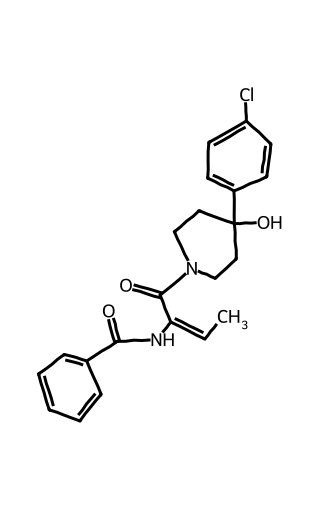 CC=C(NC(=O)c1ccccc1)C(=O)N1CCC(O)(c2ccc(Cl)cc2)CC1